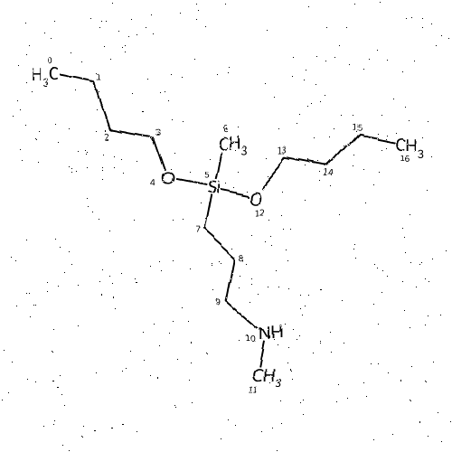 CCCCO[Si](C)(CCCNC)OCCCC